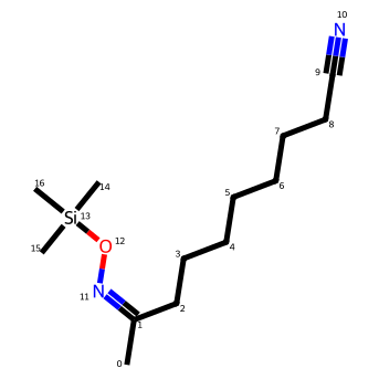 CC(CCCCCCCC#N)=NO[Si](C)(C)C